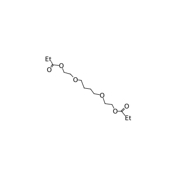 CCC(=O)OCCOCCCCOCCOC(=O)CC